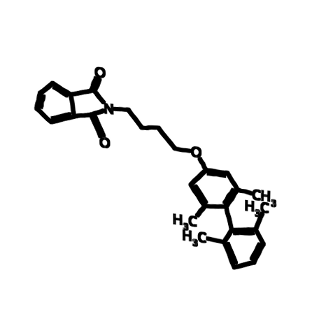 Cc1cccc(C)c1-c1c(C)cc(OCCCCN2C(=O)c3ccccc3C2=O)cc1C